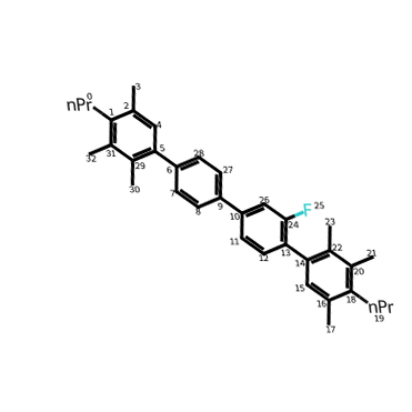 CCCc1c(C)cc(-c2ccc(-c3ccc(-c4cc(C)c(CCC)c(C)c4C)c(F)c3)cc2)c(C)c1C